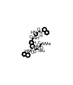 CN[C@@H](C)C(=O)N[C@H](C(=O)N1Cc2cc(C(=O)N[C@@H]3CN[C@H](C(=O)N[C@@H]4CCCc5ccccc54)C3)ccc2C[C@H]1C(=O)N[C@@H]1CCCc2ccccc21)C(C)(C)C